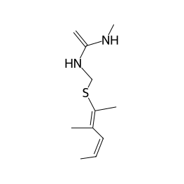 C=C(NC)NCS/C(C)=C(C)/C=C\C